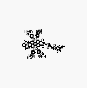 CCCCC(C)C(=O)C(CS)NC(=O)CCC(=O)NCCN1C(=O)c2cc(Oc3ccc(S(=O)(=O)O)cc3)c3c4c(Oc5ccc(S(=O)(=O)O)cc5)cc5c6c(cc(Oc7ccc(S(=O)(=O)O)cc7)c(c7c(Oc8ccc(S(=O)(=O)O)cc8)cc(c2c37)C1=O)c64)C(=O)N(c1c(C(C)C)cccc1C(C)C)C5=O